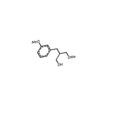 COCC(CO)Cc1cccc(OC)c1